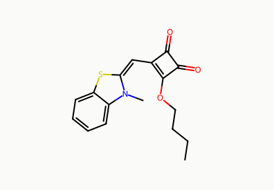 CCCCOc1c(C=C2Sc3ccccc3N2C)c(=O)c1=O